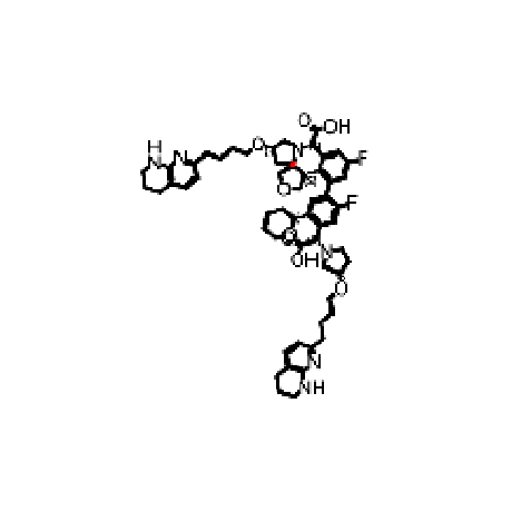 O=C(O)[C@H](c1cc(F)c(-c2cc(F)cc([C@H](C(=O)O)N3CC[C@@H](OCCCCc4ccc5c(n4)NCCC5)C3)c2[C@@H]2CCOC2)cc1[C@@H]1CCCCO1)N1CC[C@@H](OCCCCc2ccc3c(n2)NCCC3)C1